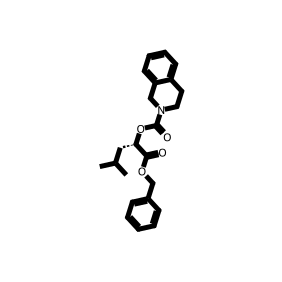 CC(C)C[C@H](OC(=O)N1CCc2ccccc2C1)C(=O)OCc1ccccc1